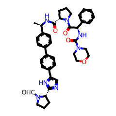 C[C@@H](NC(=O)[C@@H]1CCCN1C(=O)[C@H](NC(=O)N1CCOCC1)c1ccccc1)c1ccc(-c2ccc(-c3cnc([C@@H]4CCCN4C=O)[nH]3)cc2)cc1